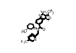 C[C@H]1OCc2c1c(N)nc1ccc(C(=O)N(Cc3ccc(C(F)(F)F)cn3)[C@@H]3CCC[C@@H](O)C3)cc21